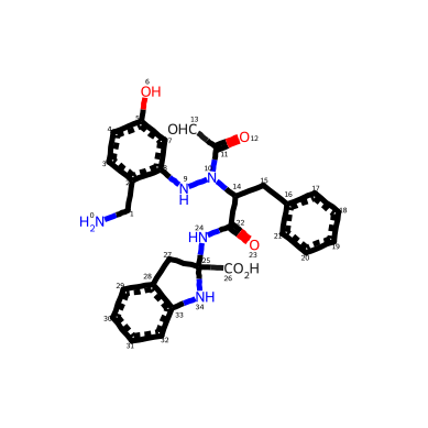 NCc1ccc(O)cc1NN(C(=O)C=O)C(Cc1ccccc1)C(=O)NC1(C(=O)O)Cc2ccccc2N1